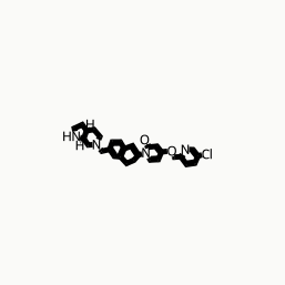 O=c1cc(OCc2ccc(Cl)cn2)ccn1C1=Cc2ccc(CN3CC[C@H]4CCN[C@H]4C3)cc2CC1